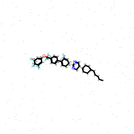 CCCCCC1CCC([C@H]2C=NC([C@H]3C=C(F)C(c4ccc(C(F)(F)OC5=C[C@H](F)C(F)C(F)=C5)cc4)=CC3)=NC2)CC1